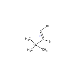 C[Si](C)(C)/C(Br)=C/Br